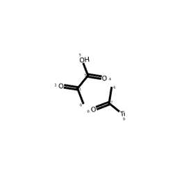 CC(=O)C(=O)O.C[C](=O)[Ti]